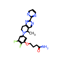 CC1c2cnc(-c3ncccn3)nc2CCN1c1cc(F)c(F)c(OCCCC(N)=O)c1